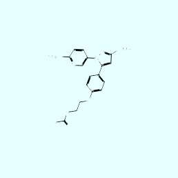 COc1ccc(-n2nc(OC)cc2-c2ccc(OCCNC(N)=O)cc2)cn1